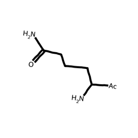 CC(=O)C(N)CCCC(N)=O